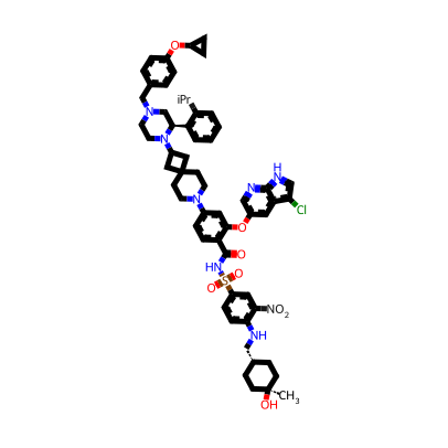 CC(C)c1ccccc1[C@@H]1CN(Cc2ccc(OC3CC3)cc2)CCN1C1CC2(CCN(c3ccc(C(=O)NS(=O)(=O)c4ccc(NC[C@H]5CC[C@](C)(O)CC5)c([N+](=O)[O-])c4)c(Oc4cnc5[nH]cc(Cl)c5c4)c3)CC2)C1